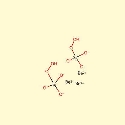 [Be+2].[Be+2].[Be+2].[O-][Si]([O-])([O-])OO.[O-][Si]([O-])([O-])OO